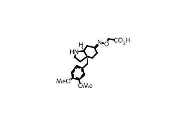 COc1ccc(C[C@@]23CCN[C@H]2CC(=NOCC(=O)O)CC3)cc1OC